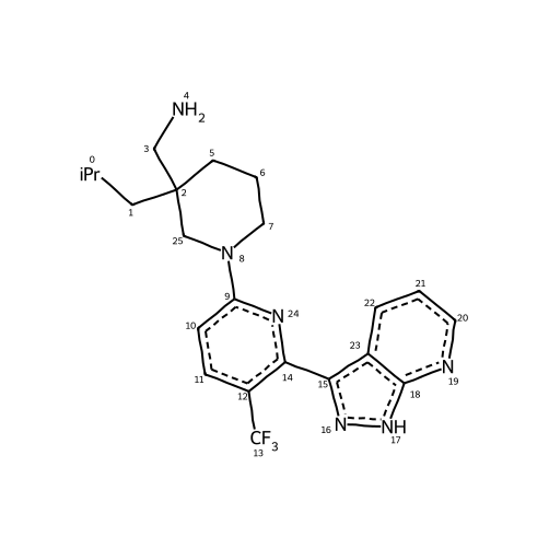 CC(C)CC1(CN)CCCN(c2ccc(C(F)(F)F)c(-c3n[nH]c4ncccc34)n2)C1